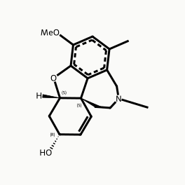 COc1cc(C)c2c3c1O[C@H]1C[C@@H](O)C=C[C@@]31CCN(C)C2